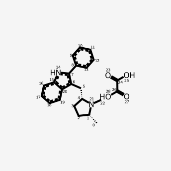 C[C@@H]1CC[C@H](Cc2c(-c3ccccc3)[nH]c3ccccc23)N1C.O=C(O)C(=O)O